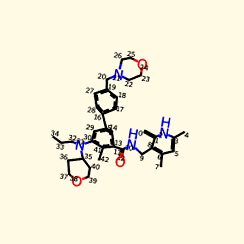 C=C1NC(C)=CC(C)=C1CNC(=O)c1cc(-c2ccc(CN3CCOCC3)cc2)cc(N(CCC)C2CCOCC2)c1C